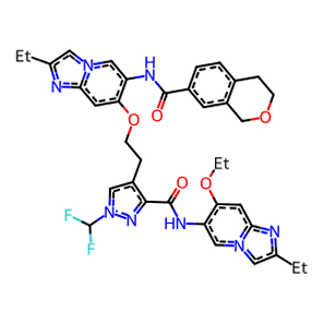 CCOc1cc2nc(CC)cn2cc1NC(=O)c1nn(C(F)F)cc1CCOc1cc2nc(CC)cn2cc1NC(=O)c1ccc2c(c1)COCC2